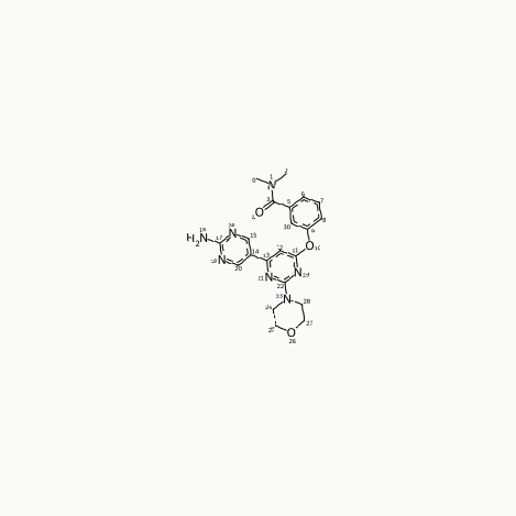 CN(C)C(=O)c1cccc(Oc2cc(-c3cnc(N)nc3)nc(N3CCOCC3)n2)c1